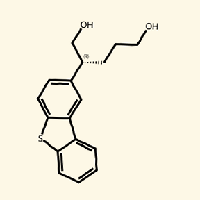 OCCC[C@@H](CO)c1ccc2sc3ccccc3c2c1